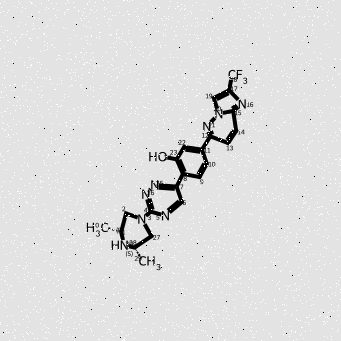 C[C@@H]1CN(c2ncc(-c3ccc(-c4ccc5nc(C(F)(F)F)cn5n4)cc3O)nn2)C[C@H](C)N1